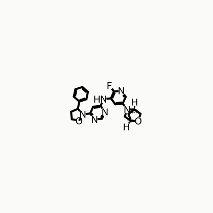 Fc1ncc(N2C[C@@H]3C[C@H]2CO3)cc1Nc1cc(N2OCCC2c2ccccc2)ncn1